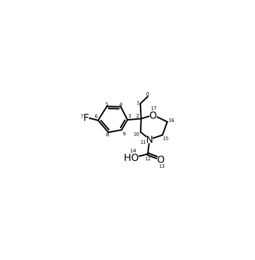 CCC1(c2ccc(F)cc2)CN(C(=O)O)CCO1